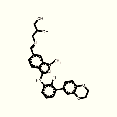 Cn1nc(Nc2cccc(-c3ccc4c(c3)OCCO4)c2Cl)c2ccc(C=NCC(O)CO)cc21